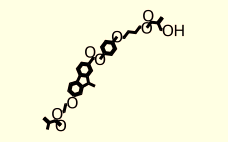 C=C(C)C(=O)OCCOc1ccc2c(c1)C(C)c1cc(C(=O)Oc3ccc(OCCCCOC(=O)C(=C)CO)cc3)ccc1-2